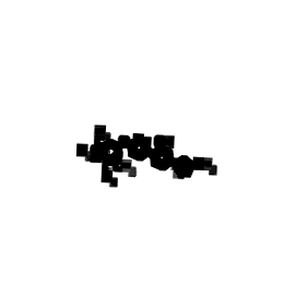 CC1(C)CC(Oc2ccc(-c3ccc(-n4cc(N)cn4)cc3O)nn2)CC(C)(C)N1